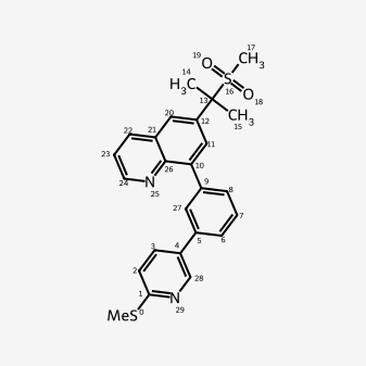 CSc1ccc(-c2cccc(-c3cc(C(C)(C)S(C)(=O)=O)cc4cccnc34)c2)cn1